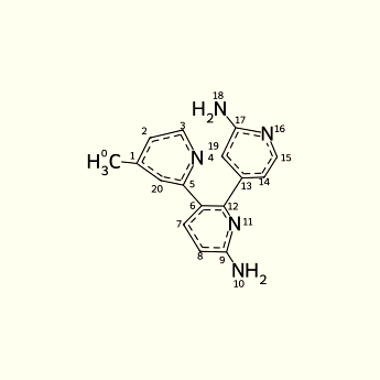 Cc1ccnc(-c2ccc(N)nc2-c2ccnc(N)c2)c1